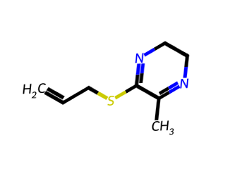 C=CCSC1=NCCN=C1C